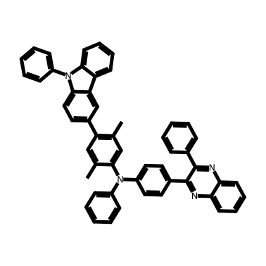 Cc1cc(N(c2ccccc2)c2ccc(-c3nc4ccccc4nc3-c3ccccc3)cc2)c(C)cc1-c1ccc2c(c1)c1ccccc1n2-c1ccccc1